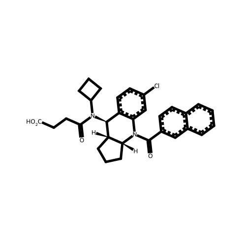 O=C(O)CCC(=O)N(C1CCC1)[C@H]1c2ccc(Cl)cc2N(C(=O)c2ccc3ccccc3c2)[C@@H]2CCC[C@@H]21